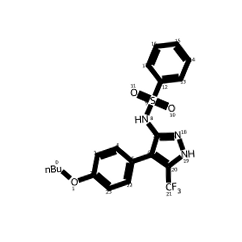 CCCCOc1ccc(-c2c(NS(=O)(=O)c3ccccc3)n[nH]c2C(F)(F)F)cc1